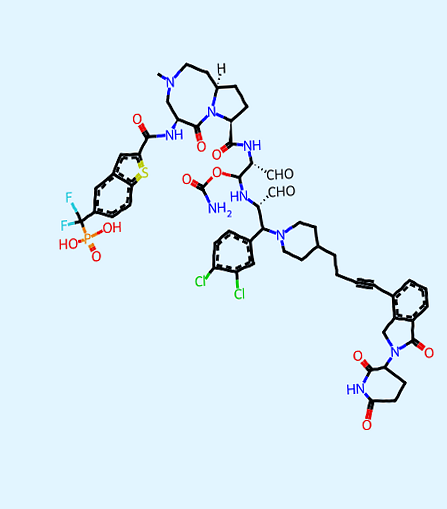 CN1CC[C@H]2CC[C@@H](C(=O)N[C@H](C=O)C(N[C@H](C=O)C(c3ccc(Cl)c(Cl)c3)N3CCC(CCC#Cc4cccc5c4CN(C4CCC(=O)NC4=O)C5=O)CC3)OC(N)=O)N2C(=O)[C@@H](NC(=O)c2cc3cc(C(F)(F)P(=O)(O)O)ccc3s2)C1